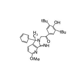 COc1ccc2c(n1)C(=N)N(CC(=O)c1cc(C(C)(C)C)c(O)c(C(C)(C)C)c1)C2(C)c1ccccc1